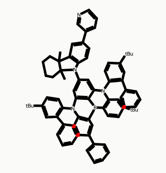 CC(C)(C)c1ccc(N2c3ccc(-c4ccccc4)cc3B3c4ccc(C(C)(C)C)cc4N(c4ccc(C(C)(C)C)cc4-c4ccccc4)c4cc(N5c6ccc(-c7cccnc7)cc6C6(C)CCCCC56C)cc2c43)c(-c2ccccc2)c1